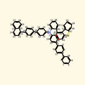 c1ccc(-c2ccc(-c3ccc(N(c4ccc(-c5ccc(-c6cccc7ccccc67)cc5)cc4)c4ccccc4-c4cccc5sc6ccccc6c45)cc3)cc2)cc1